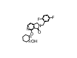 O=C1c2c(ccnc2O[C@@H]2CCCC[C@H]2O)CN1Cc1cc(F)ccc1F